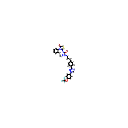 Cc1ccccc1N1C(=O)CSC1=NC(=O)NCCCc1ccc(-c2ncn(-c3ccc(OC(F)(F)F)cc3)n2)cc1